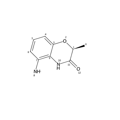 C[C@@H]1Oc2cccc([NH])c2NC1=O